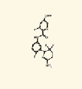 COc1cnc(C(=O)Nc2ccc(F)c(C3N=C(N)CCC3(F)F)c2)c(F)c1